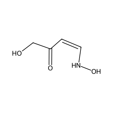 O=C(/C=C\NO)CO